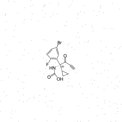 C#CC(=O)[C@](NC(=O)O)(c1cc(Br)ccc1F)C1CC1